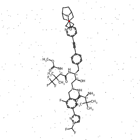 COC(=O)N[C@H](C(=O)N[C@@H](Cc1ccc(C#Cc2ccc(N3CC4CCC(C3)N4C3COC3)nc2)cc1)[C@@H](O)CN(Cc1c(F)cc(-c2ccn(C(F)F)n2)cc1F)NC(=O)[C@@H](N)C(C)(C)C)C(C)(C)C(F)(F)F